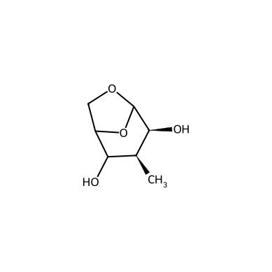 C[C@H]1C(O)C2COC(O2)[C@H]1O